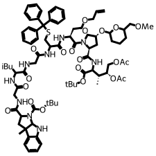 C=CCOC(=O)C[C@H](NC(=O)C(CSC(c1ccccc1)(c1ccccc1)c1ccccc1)NC(=O)CNC(=O)C(NC(=O)CNC(=O)C1CC2(C)c3ccccc3NC2N1C(=O)OC(C)(C)C)C(C)CC)C(=O)N1C[C@H](OC2CCCC(COC)O2)C[C@H]1C(=O)NC(C(=O)OC(C)(C)C)[C@@H](C)[C@H](COC(C)=O)OC(C)=O